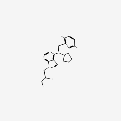 OCC(O)Cn1ncc2c(N(Cc3cc(Cl)ccc3Cl)C3CCCC3)ncnc21